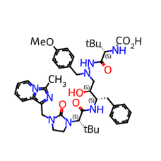 COc1ccc(CN(C[C@H](O)[C@H](Cc2ccccc2)NC(=O)[C@@H](N2CCN(Cc3nc(C)n4ccccc34)C2=O)C(C)(C)C)NC(=O)[C@@H](NC(=O)O)C(C)(C)C)cc1